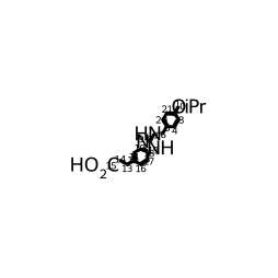 CC(C)Oc1ccc(CNc2nc3cc(CCC(=O)O)ccc3[nH]2)cc1